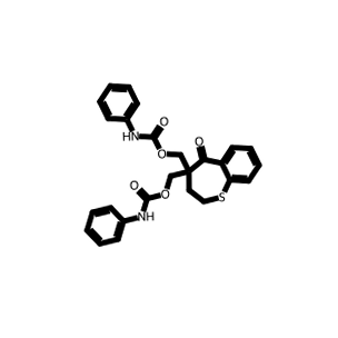 O=C(Nc1ccccc1)OCC1(COC(=O)Nc2ccccc2)CCSc2ccccc2C1=O